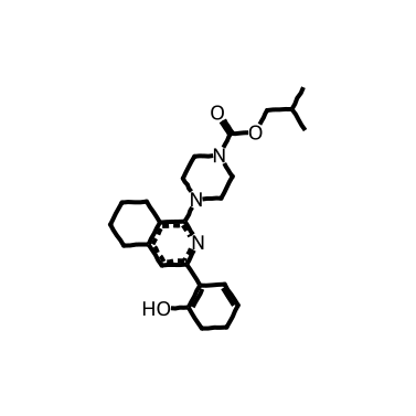 CC(C)COC(=O)N1CCN(c2nc(C3=C(O)CCC=C3)cc3c2CCCC3)CC1